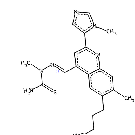 COCCCc1cc2c(/C=N/N(C)C(N)=S)cc(-c3cncn3C)nc2cc1C